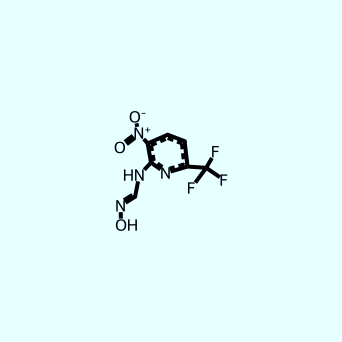 O=[N+]([O-])c1ccc(C(F)(F)F)nc1NC=NO